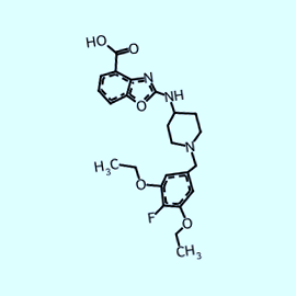 CCOc1cc(CN2CCC(Nc3nc4c(C(=O)O)cccc4o3)CC2)cc(OCC)c1F